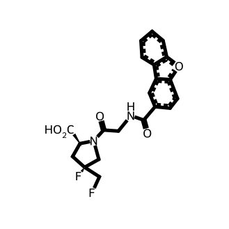 O=C(NCC(=O)N1C[C@@](F)(CF)C[C@H]1C(=O)O)c1ccc2oc3ccccc3c2c1